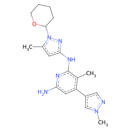 Cc1c(-c2cnn(C)c2)cc(N)nc1Nc1cc(C)n(C2CCCCO2)n1